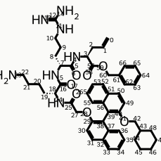 C=CC[C@H](NC(=O)[C@@H](CCCNC(=N)N)NC(=O)[C@@H](CCCCN)NC(=O)COc1ccc2ccccc2c1-c1c(OCC2CCCCC2)ccc2ccccc12)C(=O)OCc1ccccc1